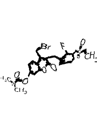 CCS(=O)(=O)Cc1cccc(Cc2c(CBr)c3ccc(OC(=O)N(C)C)cc3oc2=O)c1F